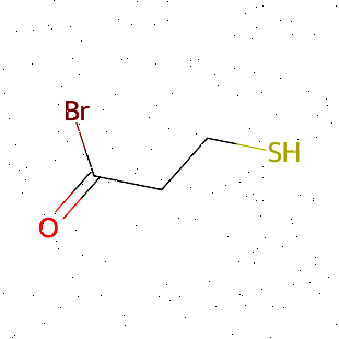 O=C(Br)CCS